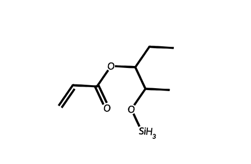 C=CC(=O)OC(CC)C(C)O[SiH3]